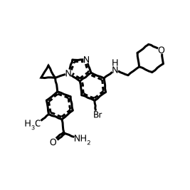 Cc1cc(C2(n3cnc4c(NCC5CCOCC5)cc(Br)cc43)CC2)ccc1C(N)=O